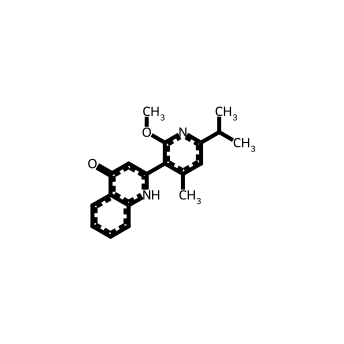 COc1nc(C(C)C)cc(C)c1-c1cc(=O)c2ccccc2[nH]1